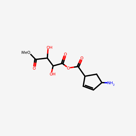 COC(=O)C(O)C(O)C(=O)OC(=O)C1C=CC(N)C1